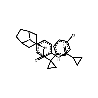 O=C(Nc1ccc(N2C3CCC2CC(NC(=O)C2(c4ccc(Cl)cc4)CC2)C3)nc1)C1CC1